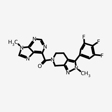 Cn1nc2c(c1-c1cc(F)c(F)c(F)c1)CCN(C(=O)c1ncnc3c1ncn3C)C2